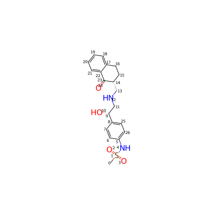 CS(=O)(=O)Nc1ccc([C@H](O)CNC[C@H]2CCc3ccccc3C2=O)cc1